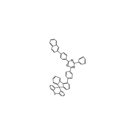 c1ccc(-c2nc(-c3ccc(-c4ccc5ccccc5c4)cc3)nc(-c3ccc(-c4cccc5c4-c4ccccc4C54c5ccccc5Sc5ccccc54)cc3)n2)cc1